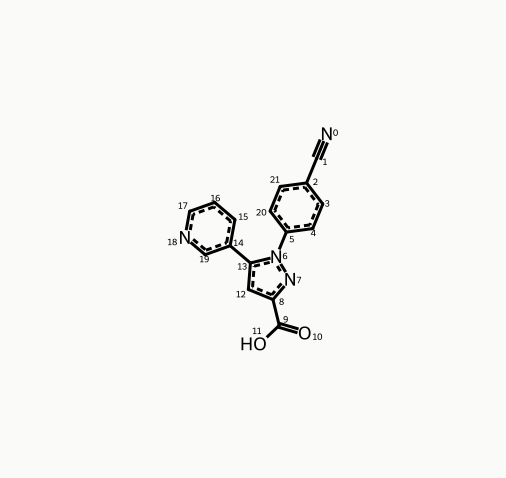 N#Cc1ccc(-n2nc(C(=O)O)cc2-c2cccnc2)cc1